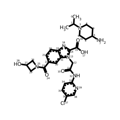 CC(C)N1CCC(N)CC1.O=C(Cn1c(C(=O)O)nc2ccc(C(=O)N3CC(O)C3)cc21)Nc1ccc(Cl)cn1